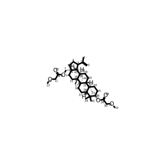 C=C(C)C1CC[C@]2(COC(=O)COC)CC[C@]3(C)[C@H](CC[C@@H]4[C@@]5(C)CC[C@H](OC(=O)COC)C(C)(C)[C@@H]5CC[C@]43C)[C@@H]12